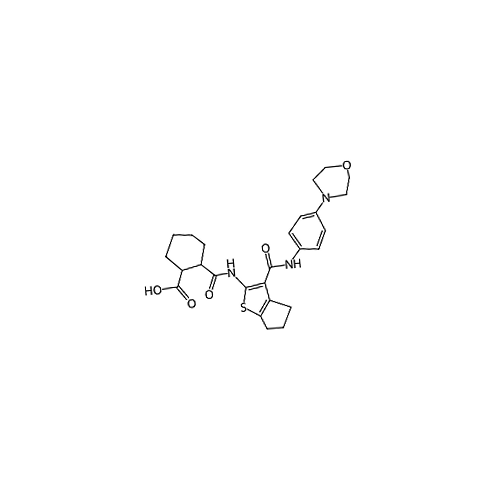 O=C(Nc1ccc(N2CCOCC2)cc1)c1c(NC(=O)C2CCCCC2C(=O)O)sc2c1CCC2